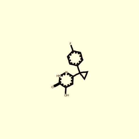 O=c1[nH]nc(C2(c3ccc(F)cc3)CC2)cc1O